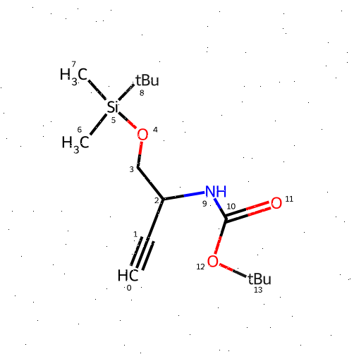 C#CC(CO[Si](C)(C)C(C)(C)C)NC(=O)OC(C)(C)C